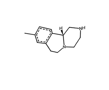 Cc1ccc2c(c1)CCN1CCNC[C@@H]21